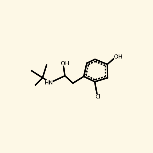 CC(C)(C)NC(O)Cc1ccc(O)cc1Cl